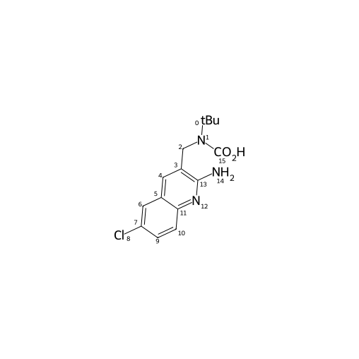 CC(C)(C)N(Cc1cc2cc(Cl)ccc2nc1N)C(=O)O